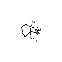 CCCCC1(N)CCCCC1(CCCC)CCCC.Cl